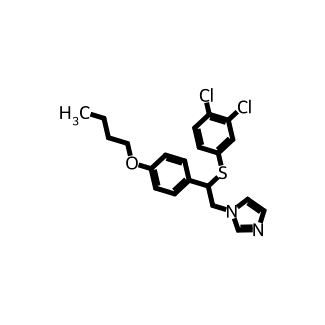 CCCCOc1ccc(C(Cn2ccnc2)Sc2ccc(Cl)c(Cl)c2)cc1